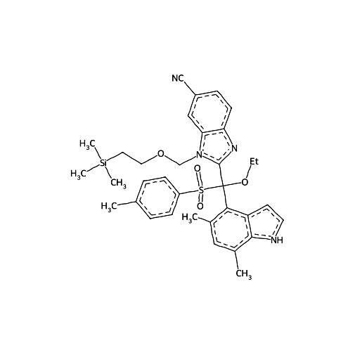 CCOC(c1c(C)cc(C)c2[nH]ccc12)(c1nc2ccc(C#N)cc2n1COCC[Si](C)(C)C)S(=O)(=O)c1ccc(C)cc1